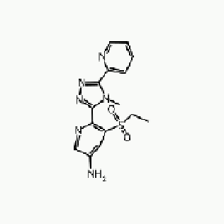 CCS(=O)(=O)c1cc(N)cnc1-c1nnc(-c2ccccn2)n1C